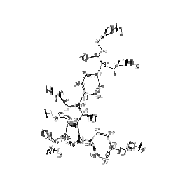 CCCC(=O)N(CC)c1ccc(N(CC)C(=O)c2c(C)c(C(N)=O)nn2-c2ccc(OC)cc2)cc1